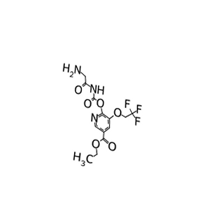 CCOC(=O)c1cnc(OC(=O)NC(=O)CN)c(OCC(F)(F)F)c1